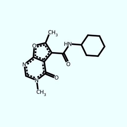 Cc1oc2ncn(C)c(=O)c2c1C(=O)NC1CCCCC1